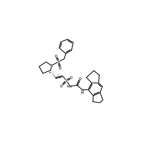 O=C(Nc1c2c(cc3c1CCC3)CCC2)NS(=O)(=O)/C=C/[C@@H]1CCCN1S(=O)(=O)Cc1ccccc1